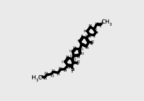 C/C=C/C1CCC(c2ccc(-c3ccc(-c4ccc(CCCCCCCC)c(F)c4F)cc3)cc2F)CC1